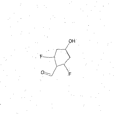 O=CC1C(F)CC(O)CC1F